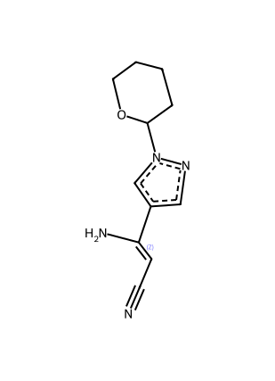 N#C/C=C(\N)c1cnn(C2CCCCO2)c1